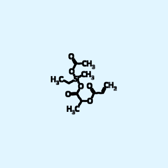 C=CC(=O)OC(C)C(=O)O[Si](C)(CC)OC(C)=O